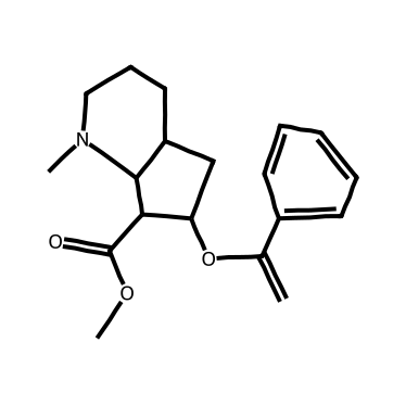 C=C(OC1CC2CCCN(C)C2C1C(=O)OC)c1ccccc1